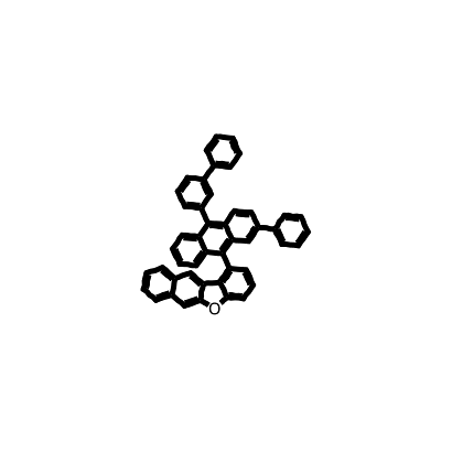 c1ccc(-c2cccc(-c3c4ccccc4c(-c4cccc5oc6cc7ccccc7cc6c45)c4cc(-c5ccccc5)ccc34)c2)cc1